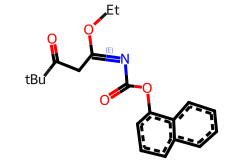 CCO/C(CC(=O)C(C)(C)C)=N/C(=O)Oc1cccc2ccccc12